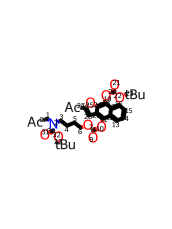 CC(=O)CN(CCCCOC(=O)Oc1c2ccccc2c(OC(=O)OC(C)(C)C)c2oc(C(C)=O)cc12)C(=O)OC(C)(C)C